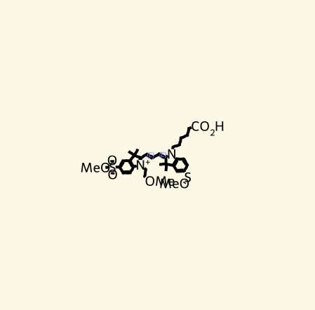 COCC[N+]1=C(/C=C/C=C2/N(CCCCCC(=O)O)c3ccc(SOC)cc3C2(C)C)C(C)(C)c2cc(S(=O)(=O)OC)ccc21